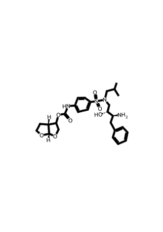 CC(C)CN(C[C@@H](O)[C@@H](N)Cc1ccccc1)S(=O)(=O)c1ccc(NC(=O)OC2CO[C@@H]3OCC[C@H]23)cc1